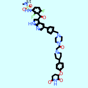 CCN(C)S(=O)(=O)Nc1ccc(F)c(C(=O)c2c[nH]c3ncc(-c4ccc(CN5CCN(C(=O)CN6CCC(c7ccc(OC8CCC(=O)NC8=O)cc7)CC6)CC5)cc4)cc23)c1F